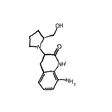 Nc1cccc2c1NC(=O)C(N1CCC[C@H]1CO)C2